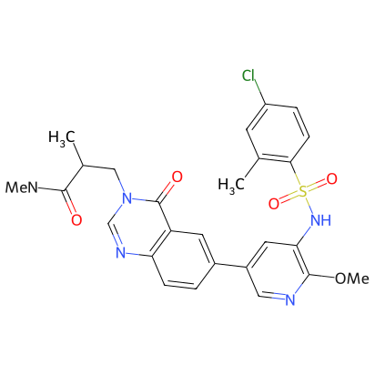 CNC(=O)C(C)Cn1cnc2ccc(-c3cnc(OC)c(NS(=O)(=O)c4ccc(Cl)cc4C)c3)cc2c1=O